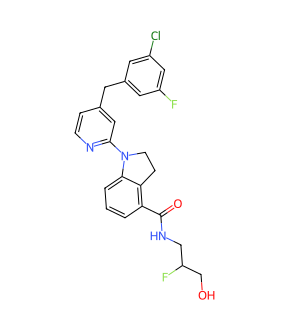 O=C(NCC(F)CO)c1cccc2c1CCN2c1cc(Cc2cc(F)cc(Cl)c2)ccn1